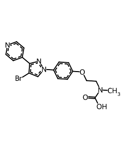 CN(CCOc1ccc(-n2cc(Br)c(-c3ccncc3)n2)cc1)C(=O)O